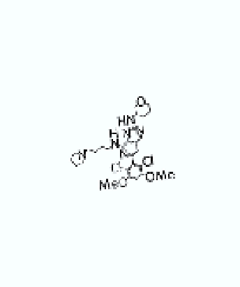 COc1cc(OC)c(Cl)c(-c2cc3cnc(NC4CCCOC4)nc3c(NCCCCN3CCCC3)n2)c1Cl